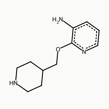 Nc1cccnc1OCC1CCNCC1